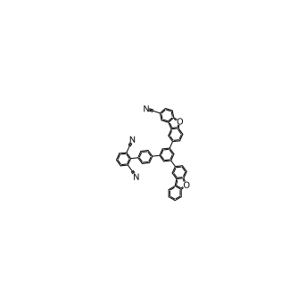 N#Cc1ccc2oc3ccc(-c4cc(-c5ccc(-c6c(C#N)cccc6C#N)cc5)cc(-c5ccc6oc7ccccc7c6c5)c4)cc3c2c1